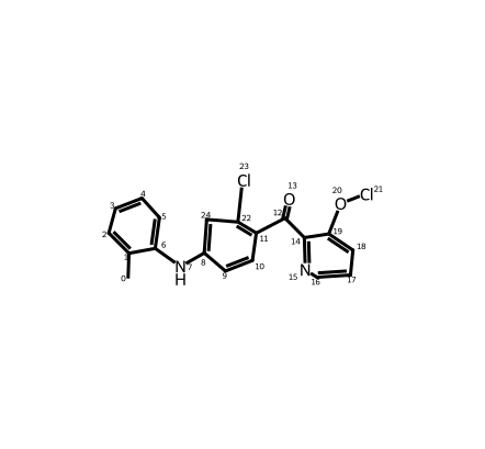 Cc1ccccc1Nc1ccc(C(=O)c2ncccc2OCl)c(Cl)c1